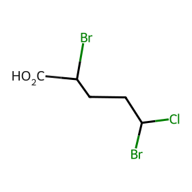 O=C(O)C(Br)CCC(Cl)Br